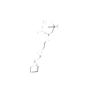 CCC(C)(CC)CC(N)OCCOCCN1CCCC1